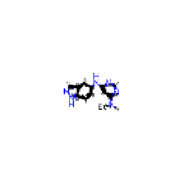 CCN(C)c1cc(Nc2ccc3[nH]ncc3c2)ncn1